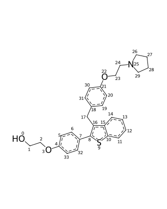 OCCOc1ccc(-c2sc3ccccc3c2Cc2ccc(OCCN3CCCC3)cc2)cc1